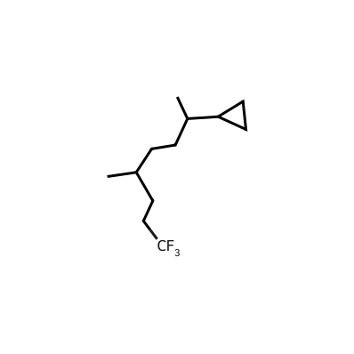 CC(CCC(C)C1CC1)CCC(F)(F)F